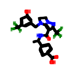 CC(NC(=O)c1c(C(F)(F)F)nn2c1N(Cc1cc(O)cc(C(F)(F)F)c1)CC2)c1ccc(C(=O)O)cc1